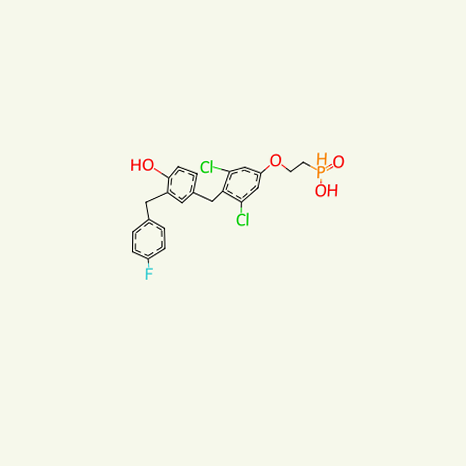 O=[PH](O)CCOc1cc(Cl)c(Cc2ccc(O)c(Cc3ccc(F)cc3)c2)c(Cl)c1